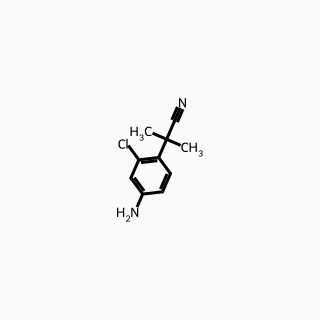 CC(C)(C#N)c1ccc(N)cc1Cl